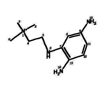 C[N+](C)(C)CCNc1cc(N)ccc1N